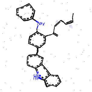 C=C(/C=C\C=C/C)c1cc(-c2ccc3[nH]c4ccccc4c3c2)ccc1Nc1ccccc1